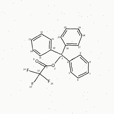 O=C(OS(c1ccccc1)(c1ccccc1)c1ccccc1)C(F)(F)F